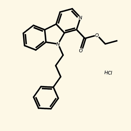 CCOC(=O)c1nccc2c3ccccc3n(CCCc3ccccc3)c12.Cl